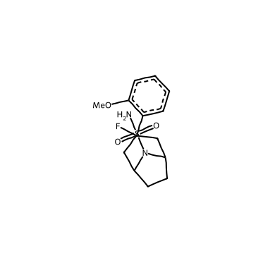 COc1ccccc1C1(F)CC2CCC(C1)N2S(N)(=O)=O